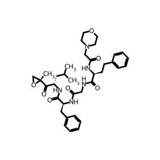 CC(C)C[C@H](NC(=O)[C@H](Cc1ccccc1)NC(=O)CNC(=O)[C@H](CCc1ccccc1)NC(=O)CN1CCOCC1)C(=O)[C@@]1(C)CO1